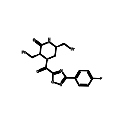 CC(C)C[C@H]1CN(C(=O)c2nc(-c3ccc(F)cc3)no2)[C@@H](CC(C)C)C(=O)N1